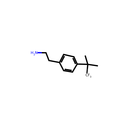 CC(C)(c1ccc(CCN)cc1)C(F)(F)F